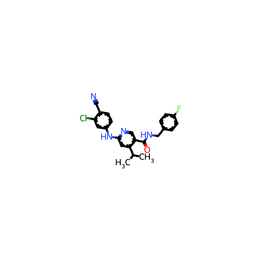 CC(C)c1cc(Nc2ccc(C#N)c(Cl)c2)ncc1C(=O)NCc1ccc(F)cc1